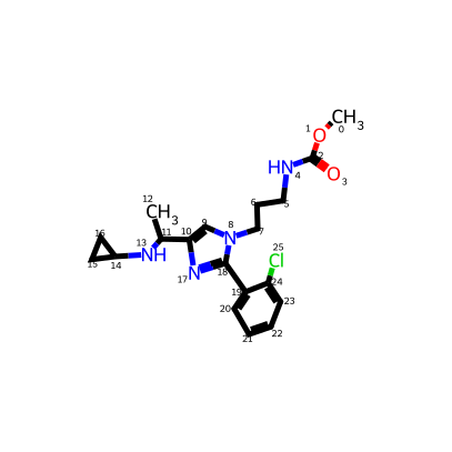 COC(=O)NCCCn1cc(C(C)NC2CC2)nc1-c1ccccc1Cl